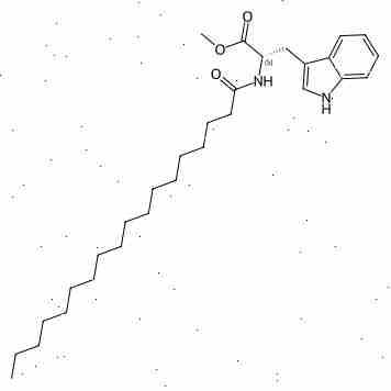 CCCCCCCCCCCCCCCCCC(=O)N[C@@H](Cc1c[nH]c2ccccc12)C(=O)OC